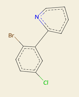 Clc1ccc(Br)c(-c2ccccn2)c1